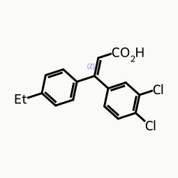 CCc1ccc(/C(=C/C(=O)O)c2ccc(Cl)c(Cl)c2)cc1